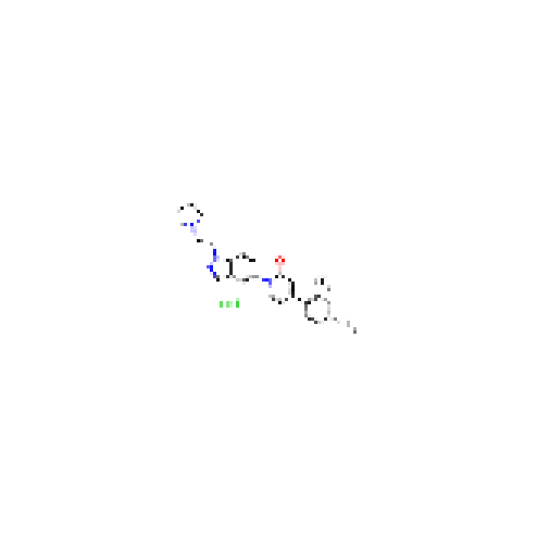 Cl.O=c1cc(-c2ccc(C(F)(F)F)cc2C(F)(F)F)ccn1-c1ccc2c(cnn2CCN2CCCC2)c1